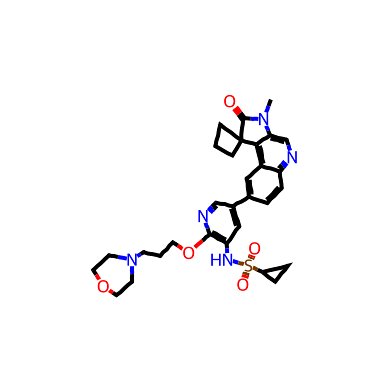 CN1C(=O)C2(CCC2)c2c1cnc1ccc(-c3cnc(OCCCN4CCOCC4)c(NS(=O)(=O)C4CC4)c3)cc21